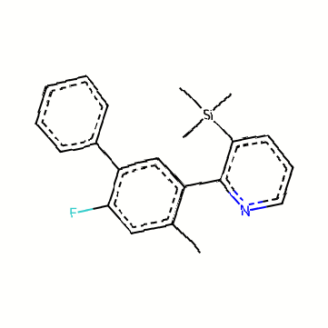 Cc1cc(F)c(-c2ccccc2)cc1-c1ncccc1[Si](C)(C)C